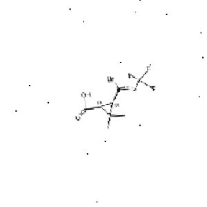 CC1(C)[C@H](C(Br)=CC(F)(F)F)[C@@H]1C(=O)O